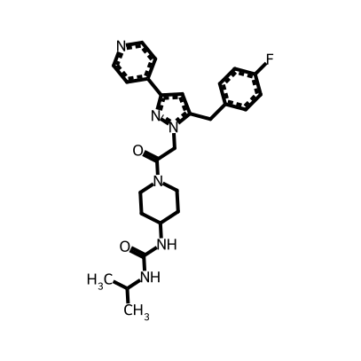 CC(C)NC(=O)NC1CCN(C(=O)Cn2nc(-c3ccncc3)cc2Cc2ccc(F)cc2)CC1